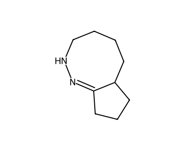 C1CCC2CCCC2=NNC1